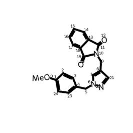 COc1ccc(Cn2cc(CN3C(=O)c4ccccc4C3=O)cn2)cc1